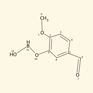 COc1ccc(C=O)cc1OBO